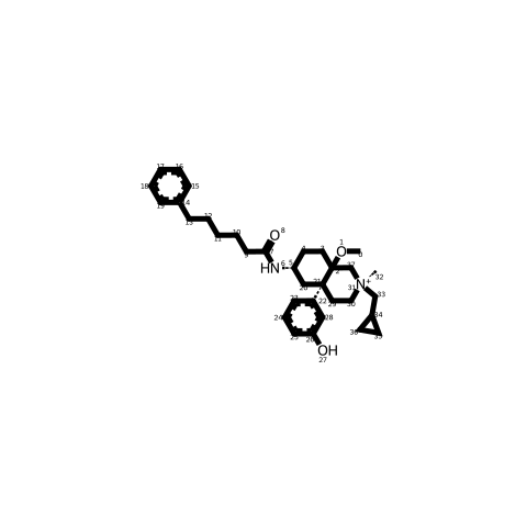 COC12CC[C@@H](NC(=O)CCCCCc3ccccc3)C[C@]1(c1cccc(O)c1)CC[N@+](C)(CC1CC1)C2